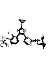 CS(=O)(=O)Nc1cccc(-c2nc(C3CC3)[nH]c2-c2ccnc(NCC3(C#N)CC3)n2)c1Cl